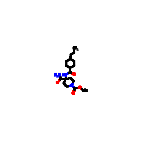 CC(C)(C)OC(=O)N1CCC(NC(=O)C2CCC(=CCC(F)(F)F)CC2)(C(N)=O)CC1